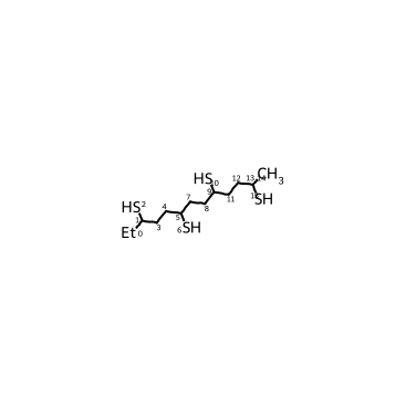 [CH2]CC(S)CCC(S)CCC(S)CCC(C)S